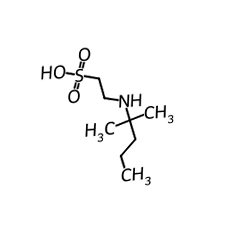 CCCC(C)(C)NCCS(=O)(=O)O